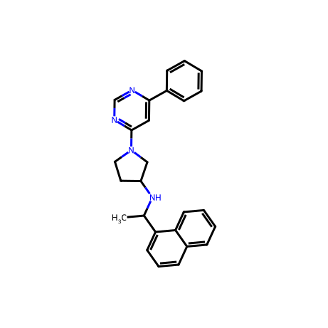 CC(NC1CCN(c2cc(-c3ccccc3)ncn2)C1)c1cccc2ccccc12